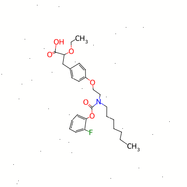 CCCCCCCN(CCOc1ccc(CC(OCC)C(=O)O)cc1)C(=O)Oc1ccccc1F